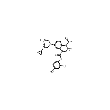 COc1ccc(OC(=O)N2C[C@H](C)N(C(C)=O)c3ccc(C(CN)CNC4CC4)cc32)c(Cl)c1